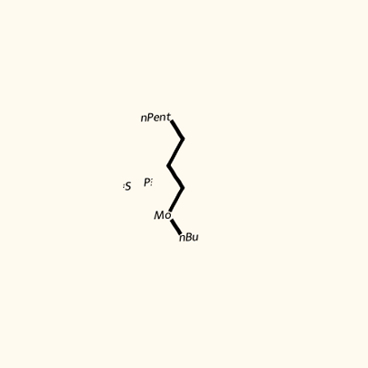 CCCCCCC[CH2][Mo][CH2]CCC.[P].[S]